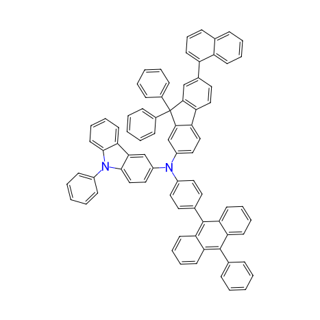 c1ccc(-c2c3ccccc3c(-c3ccc(N(c4ccc5c(c4)C(c4ccccc4)(c4ccccc4)c4cc(-c6cccc7ccccc67)ccc4-5)c4ccc5c(c4)c4ccccc4n5-c4ccccc4)cc3)c3ccccc23)cc1